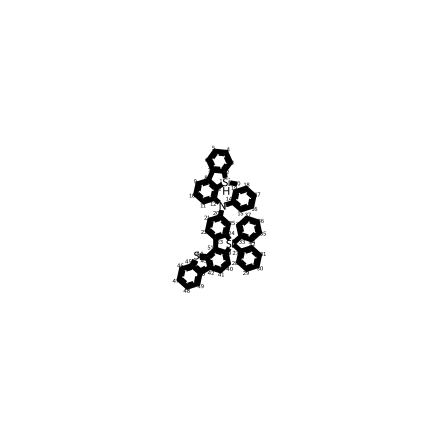 C[SiH]1c2ccccc2-c2cccc(N(c3ccccc3)c3ccc4c(c3)[Si](c3ccccc3)(c3ccccc3)c3ccc5c(sc6ccccc65)c3-4)c21